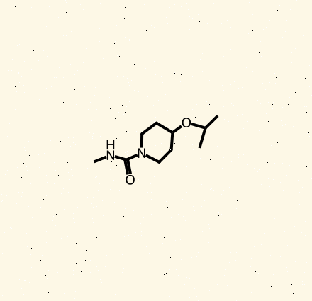 CNC(=O)N1CCC(OC(C)C)CC1